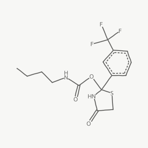 CCCCNC(=O)OC1(c2cccc(C(F)(F)F)c2)NC(=O)CS1